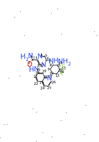 NC(=O)c1ncc(N[C@@H]2CCCC(F)(F)[C@@H]2N)nc1Nc1ccc2cccnc2c1